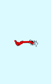 CCCCOC(=O)[C@@H](C)Oc1ccc(-c2ccc(OCCCCCCCCCCOC(=O)c3cc(N)cc(N)c3)cc2)cc1